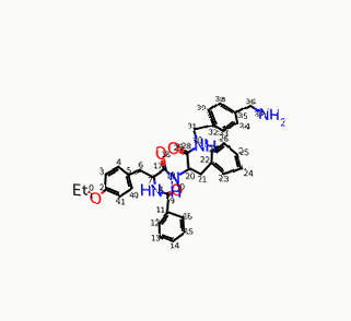 CCOc1ccc(CC(NC(=O)c2ccccc2)C(=O)NC(Cc2ccccc2)C(=O)NCc2ccc(CN)cc2)cc1